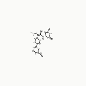 CCCN(C(=O)Nc1cc(Cl)cc(Cl)c1)c1ccc(-c2cccc(C#N)c2)cc1